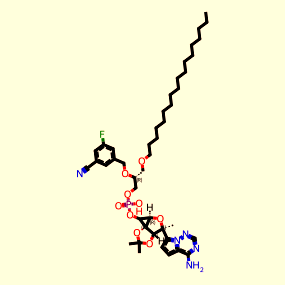 CCCCCCCCCCCCCCCCCCOC[C@H](COP(=O)(O)OC1[C@H]2O[C@@](C)(c3ccc4c(N)ncnn34)[C@@H]3OC(C)(C)O[C@]123)OCc1cc(F)cc(C#N)c1